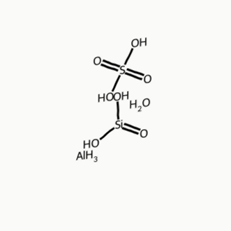 O.O=S(=O)(O)O.O=[Si](O)O.[AlH3]